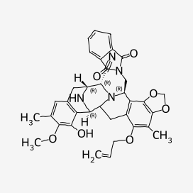 C=CCOc1c(C)c2c(c3c1CC1[C@@H]4N[C@H](Cc5cc(C)c(OC)c(O)c54)[C@H](C#N)N1[C@H]3CN1C(=O)c3ccccc3C1=O)OCO2